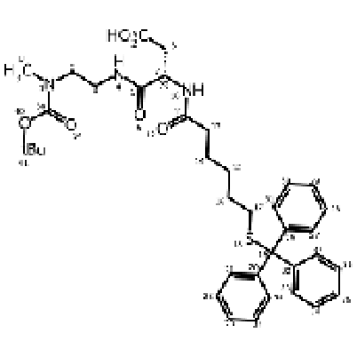 CN(CCNC(=O)[C@H](CC(=O)O)NC(=O)CCCCCSC(c1ccccc1)(c1ccccc1)c1ccccc1)C(=O)OC(C)(C)C